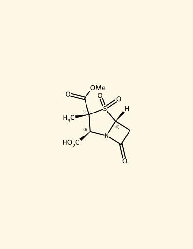 COC(=O)[C@@]1(C)[C@H](C(=O)O)N2C(=O)C[C@H]2S1(=O)=O